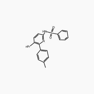 CCCc1ccc(NS(=O)(=O)c2ccccc2)nc1-c1ccc(C)cc1